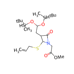 C=CCSC1C(CC(O[SiH](C)C(C)(C)C)O[SiH](C)C(C)(C)C)C(=O)N1CC(=O)OC